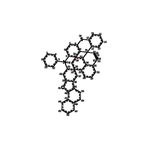 c1ccc(N(c2ccc3c(c2)C2(c4ccccc4S3)c3ccccc3-c3cccc4cccc2c34)c2ccc3c(c2)oc2c4ccccc4ccc32)cc1